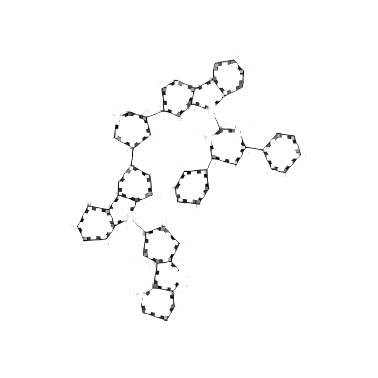 c1ccc(-c2cc(-c3ccccc3)nc(-n3c4ccccc4c4ccc(-c5cncc(-c6ccc7c(c6)c6ccccc6n7-c6ccc7oc8cccnc8c7c6)c5)cc43)n2)cc1